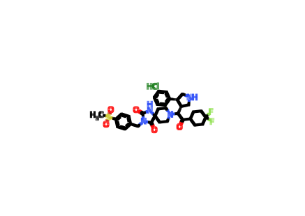 CS(=O)(=O)c1ccc(CN2C(=O)NC3(CCN(C(C(=O)C4CCC(F)(F)CC4)[C@@H]4CNC[C@@H]4c4ccccc4)CC3)C2=O)cc1.Cl